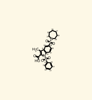 Cc1c(C(=O)O)n(S(=O)(=O)c2ccccc2)c2ccc(S(=O)(=O)N3CCCCCC3)cc12